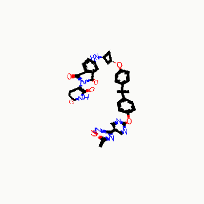 Cc1nc(-c2cnc(Oc3ccc(C(C)(C)c4ccc(O[C@H]5C[C@H](Nc6ccc7c(c6)C(=O)N(C6CCC(=O)NC6=O)C7=O)C5)cc4)cc3)nc2)no1